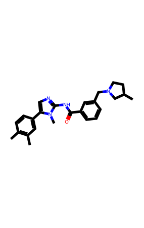 Cc1ccc(-c2cnc(NC(=O)c3cccc(CN4CCC(C)C4)c3)n2C)cc1C